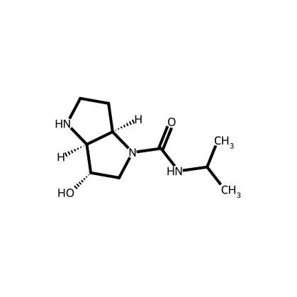 CC(C)NC(=O)N1C[C@H](O)[C@H]2NCC[C@H]21